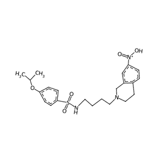 CC(C)Oc1ccc(S(=O)(=O)NCCCCN2CCc3ccc([N+](=O)O)cc3C2)cc1